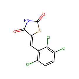 O=C1NC(=O)C(=Cc2c(Cl)ccc(Cl)c2Cl)S1